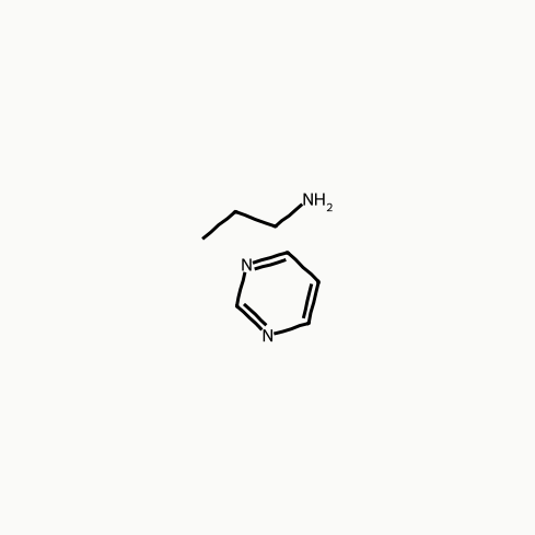 CCCN.c1cncnc1